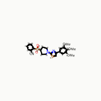 COc1cc(-c2csc(N3CCC(S(=O)(=O)c4ccccc4C#N)CC3)n2)cc(OC)c1OC